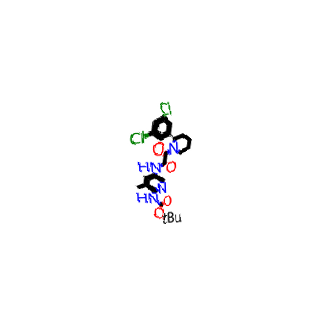 Cc1cc(NC(=O)C(=O)N2CCCC[C@H]2c2cc(Cl)cc(Cl)c2)cnc1NC(=O)OC(C)(C)C